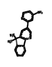 CC1(C)c2ccccc2-c2ccc(-c3cc(N)ccn3)cc21